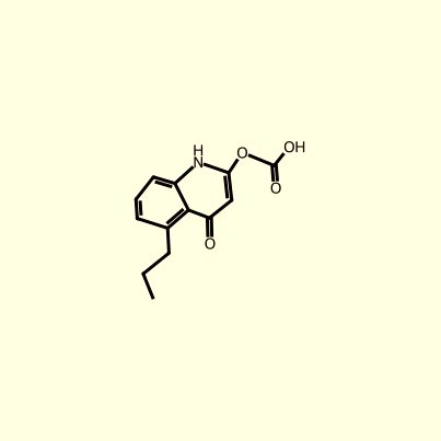 CCCc1cccc2[nH]c(OC(=O)O)cc(=O)c12